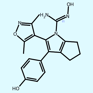 Cc1noc(C)c1-c1c(-c2ccc(O)cc2)c2c(n1/C(N)=N/O)CCC2